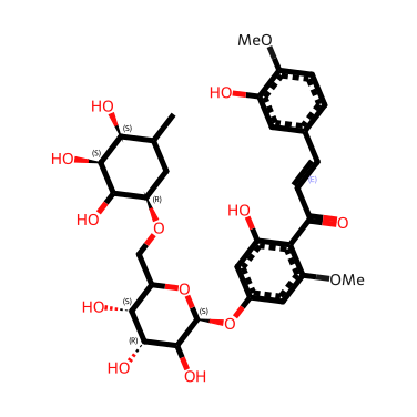 COc1ccc(/C=C/C(=O)c2c(O)cc(O[C@@H]3OC(CO[C@@H]4CC(C)[C@H](O)[C@H](O)C4O)[C@@H](O)[C@@H](O)C3O)cc2OC)cc1O